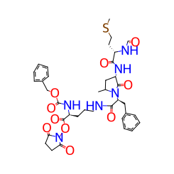 CSCC[C@H](NC=O)C(=O)N[C@H]1CC(C)N([C@@H](Cc2ccccc2)C(=O)NCCC[C@H](NC(=O)OCc2ccccc2)C(=O)ON2C(=O)CCC2=O)C1=O